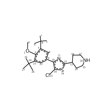 COc1c(C(C)(C)C)cc(-c2nc(C3CCNCC3)sc2Cl)cc1C(C)(C)C